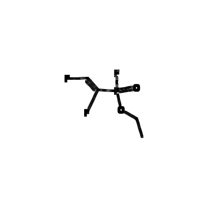 CCOP(=O)(F)/C(F)=C/F